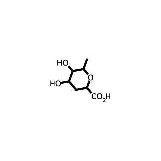 CC1OC(C(=O)O)CC(O)C1O